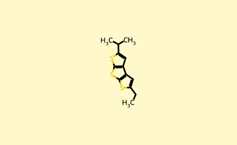 CCc1cc2c(s1)sc1sc(C(C)C)cc12